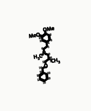 COc1ccc(CCN(C)C[C@H](C)COCc2ccccc2)cc1OC